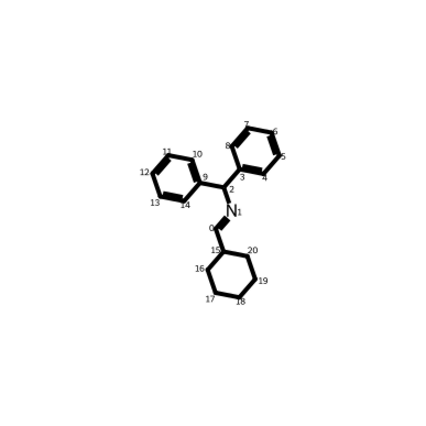 C(=NC(c1ccccc1)c1ccccc1)C1CCCCC1